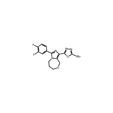 CC(C)(C)c1nnc(-c2nc(-c3ccc(F)c(F)c3)n3c2COCCC3)o1